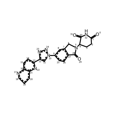 O=C1CCC(N2Cc3cc(-n4cc(-c5ccc6ncccc6n5)nn4)ccc3C2=O)C(=O)N1